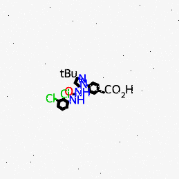 CC(C)(C)c1cc(NC(=O)Nc2cccc(Cl)c2Cl)n(-c2ccc(CC(=O)O)cc2)n1